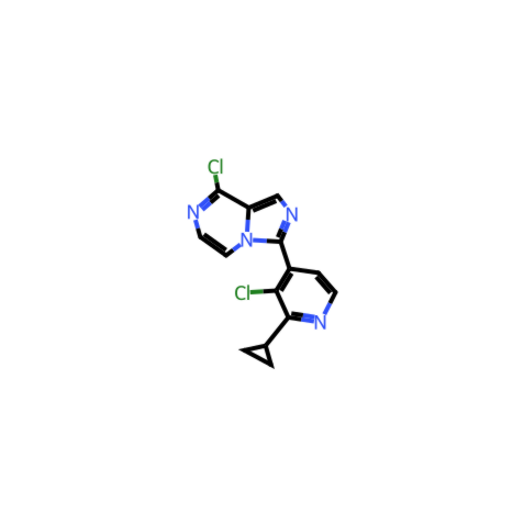 Clc1c(-c2ncc3c(Cl)nccn23)ccnc1C1CC1